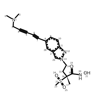 CN(C)CC#CC#Cc1ccc2nn(CC[C@](C)(C(=O)NO)S(C)(=O)=O)cc2c1